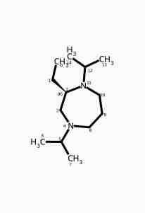 CC[C@@H]1CN(C(C)C)CCCN1C(C)C